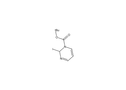 CC(C)(C)OC(=O)N1C=CC=NC1I